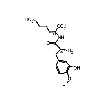 CCOc1ccc(C[C@H](N)C(=O)N[C@@H](CCCC(=O)O)C(=O)O)cc1O